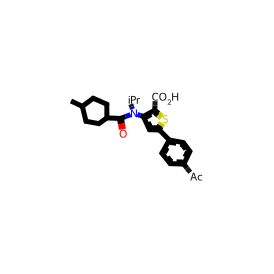 CC(=O)c1ccc(-c2cc(N(C(=O)C3CCC(C)CC3)C(C)C)c(C(=O)O)s2)cc1